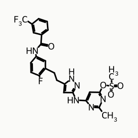 Cc1nc(Nc2cc(CCc3cc(NC(=O)c4cccc(C(F)(F)F)c4)ccc3F)[nH]n2)cc(OS(C)(=O)=O)n1